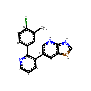 Cc1cc(-c2ncccc2-c2cnc3ncsc3c2)ccc1F